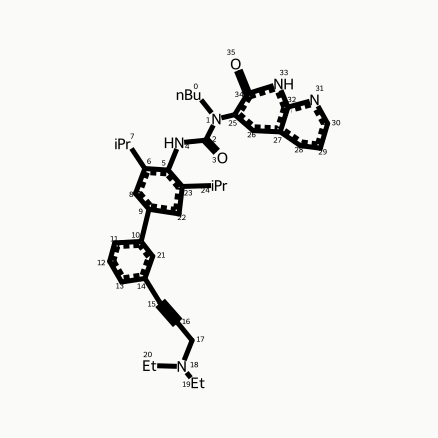 CCCCN(C(=O)Nc1c(C(C)C)cc(-c2cccc(C#CCN(CC)CC)c2)cc1C(C)C)c1cc2cccnc2[nH]c1=O